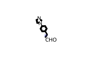 O=C/C=C/c1ccc(-n2ccnc2)cc1